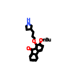 CCCCOc1ccc2c(c1OCCCC1CCNC1)C(=O)c1ccccc1-2